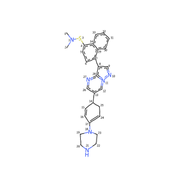 CN(C)Sc1ccc(-c2cnn3cc(C4C=CC(N5CCNCC5)=CC4)cnc23)c2ccccc12